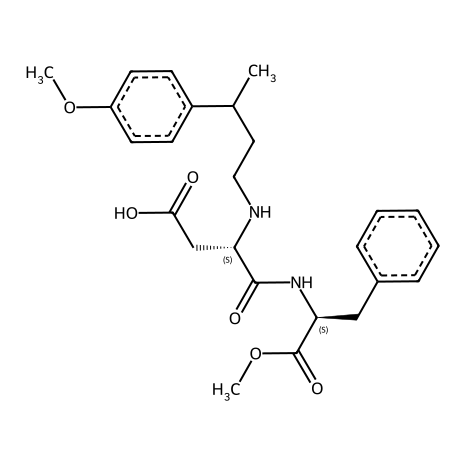 COC(=O)[C@H](Cc1ccccc1)NC(=O)[C@H](CC(=O)O)NCCC(C)c1ccc(OC)cc1